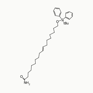 CC(C)(C)[Si](OCCCCCCCC=CCCCCCCCCC(N)=O)(c1ccccc1)c1ccccc1